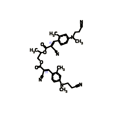 Cc1cc(N(C)CCC#N)ccc1/C=C(\C#N)C(=O)OCC(C)OC(=O)/C(C#N)=C/c1ccc(N(C)CCC#N)cc1C